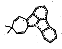 CC1(C)C=Cc2c(n3c4ccccc4c4cccc2c43)C=C1